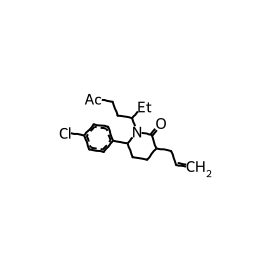 C=CCC1CCC(c2ccc(Cl)cc2)N(C(CC)CCC(C)=O)C1=O